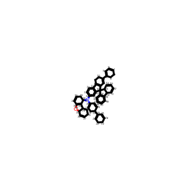 C1=CCCC(C2=CC3=C(CC2)c2ccc(N(C4=CCC(C5=CCCC=C5)C=C4)C4CC=CC5=C4C4CCC=CC4O5)cc2C32c3ccccc3C3C=CC=CC32)=C1